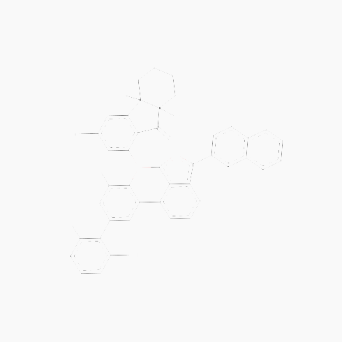 C=C1c2c(B3c4c(C)cc(-c5c(C)cccc5C)cc4-c4cccc5c(-c6ccc7ccccc7c6)oc3c45)cc(C(C)(C)C)cc2C2(C)CCCCC12C